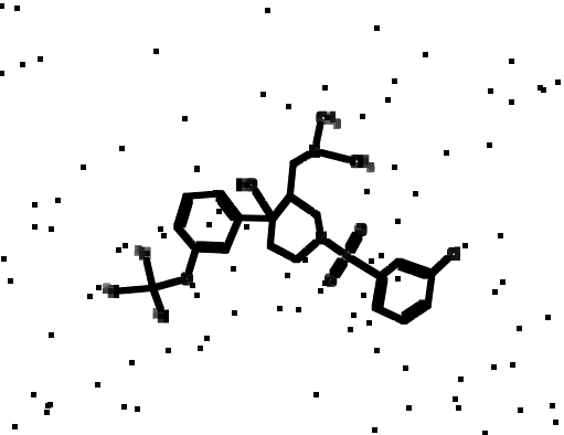 [2H]C([2H])([2H])Oc1cccc(C2(O)CCN(S(=O)(=O)c3cccc(Cl)c3)CC2CN(C)C)c1